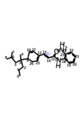 CCCC(C)(CC(C)C)C1C=CC(/C=C/C(=O)Nc2ccccc2N)=CC1